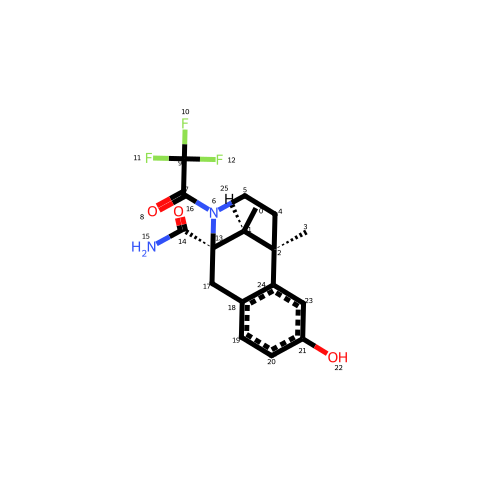 C[C@H]1[C@@]2(C)CCN(C(=O)C(F)(F)F)[C@]1(C(N)=O)Cc1c[c]c(O)cc12